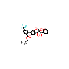 CCOC(=O)c1ccc(C(F)(F)F)cc1-c1ccc2c(c1)OCC(O)(Cc1ccccc1)C2O